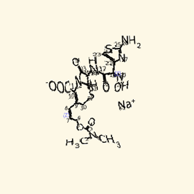 CN(C)C(=O)OC/C=C\C1=C(C(=O)[O-])N2C(=O)C(NC(=O)/C(=N\O)c3csc(N)n3)[C@H]2SC1.[Na+]